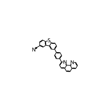 N#Cc1ccc2sc3ccc(-c4ccc(-c5ccc6ccc7cccnc7c6n5)cc4)cc3c2c1